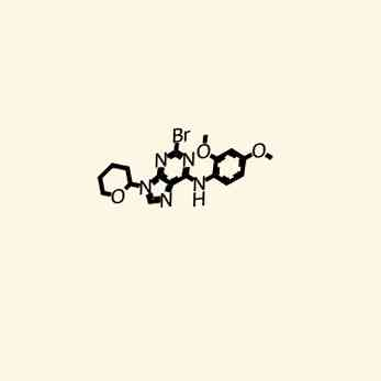 COc1ccc(Nc2nc(Br)nc3c2ncn3C2CCCCO2)c(OC)c1